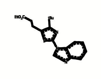 CCOC(=O)CCc1sc(-n2cnc3ccccc32)nc1C(C)(C)C